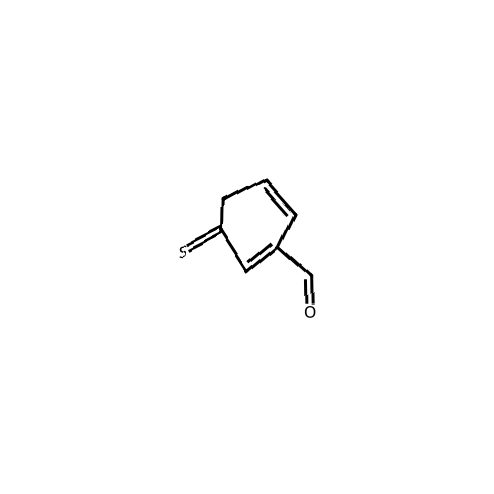 O=CC1=CC(=S)CC=C1